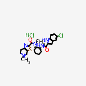 CN1CCc2nc(C(=O)N(C)[C@@H]3CCCC[C@@H]3NC(=O)c3cc4cc(Cl)ccc4[nH]3)sc2C1.Cl